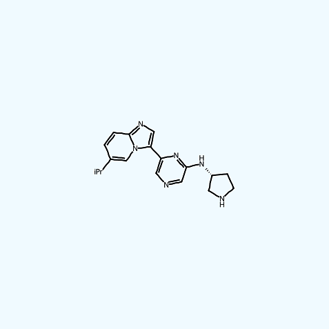 CC(C)c1ccc2ncc(-c3cncc(N[C@@H]4CCNC4)n3)n2c1